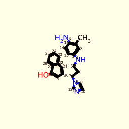 Cc1cc(NCCCn2ccnc2)ccc1N.Oc1cccc2ccccc12